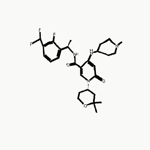 C[C@@H](NC(=O)c1cn([C@H]2CCOC(C)(C)C2)c(=O)cc1NC1CCN(C)CC1)c1cccc(C(F)F)c1F